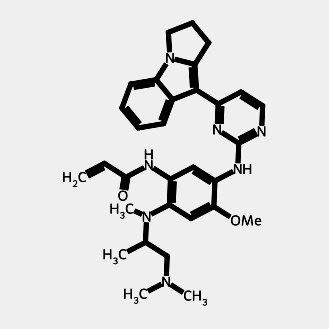 C=CC(=O)Nc1cc(Nc2nccc(-c3c4n(c5ccccc35)CCC4)n2)c(OC)cc1N(C)C(C)CN(C)C